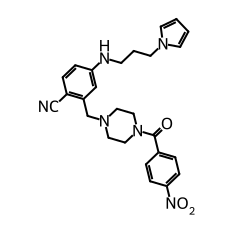 N#Cc1ccc(NCCCn2cccc2)cc1CN1CCN(C(=O)c2ccc([N+](=O)[O-])cc2)CC1